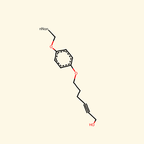 CCCCCCCCCCOc1ccc(OCCCC#CCO)cc1